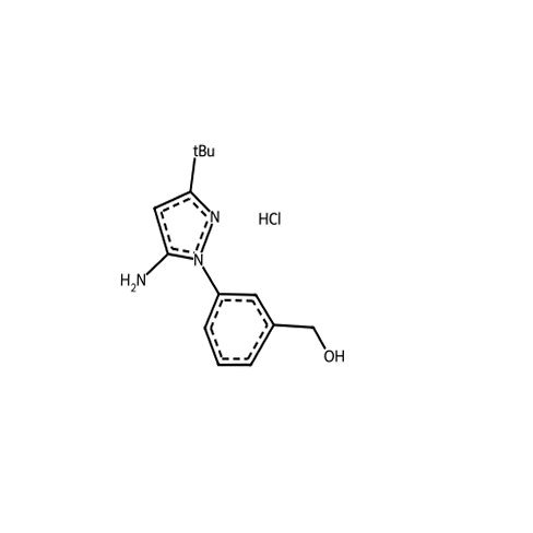 CC(C)(C)c1cc(N)n(-c2cccc(CO)c2)n1.Cl